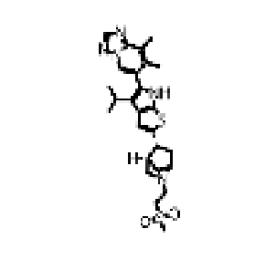 Cc1c(-c2[nH]c3sc([C@@H]4CC5C[C@H]4CN5CCS(C)(=O)=O)cc3c2C(C)C)cn2ncnc2c1C